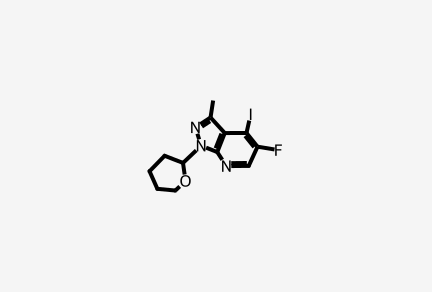 Cc1nn(C2CCCCO2)c2ncc(F)c(I)c12